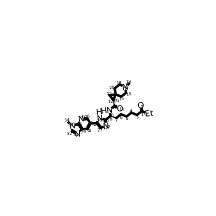 CCC(=O)CCCCC[C@H](NC(=O)[C@H]1CC12CCN(C)CC2)c1ncc(-c2cnc3c(c2)ncn3C)[nH]1